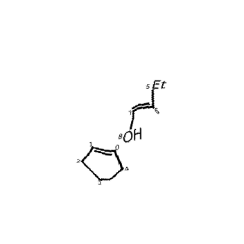 C1=CCCC1.CCC=CO